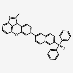 Cc1nc2cccc3c2n1-c1ccc(-c2ccc4cc(P(=O)(c5ccccc5)c5ccccc5)ccc4c2)cc1O3